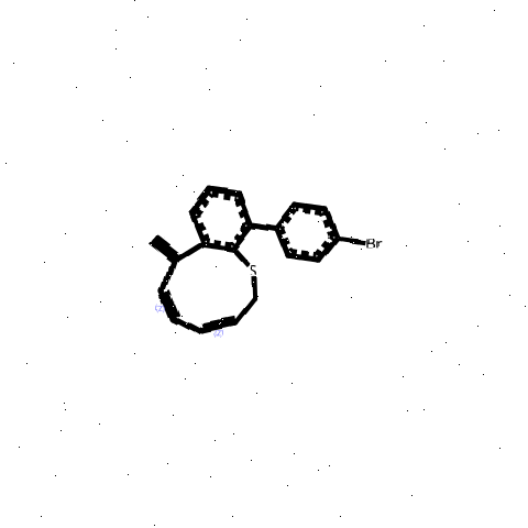 C=C1/C=C\C=C/CSc2c1cccc2-c1ccc(Br)cc1